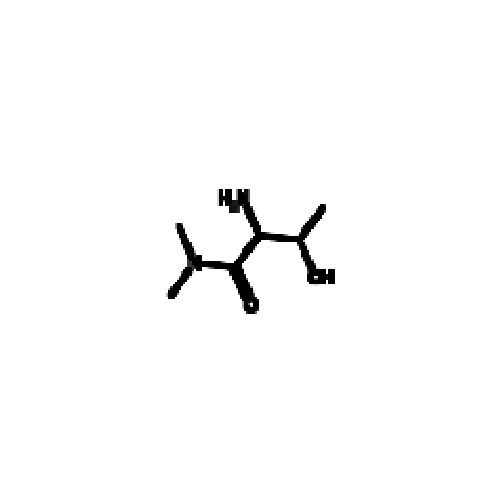 CC(O)C(N)C(=O)N(C)C